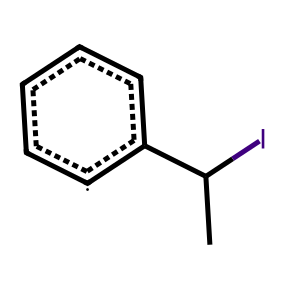 CC(I)c1[c]cccc1